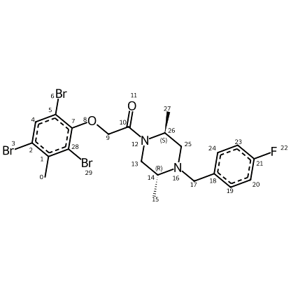 Cc1c(Br)cc(Br)c(OCC(=O)N2C[C@@H](C)N(Cc3ccc(F)cc3)C[C@@H]2C)c1Br